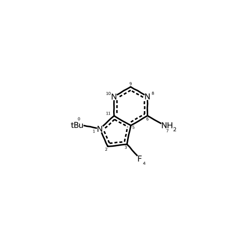 CC(C)(C)n1cc(F)c2c(N)ncnc21